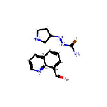 NC(=S)NNC1CCNC1.O=Cc1cccc2cccnc12